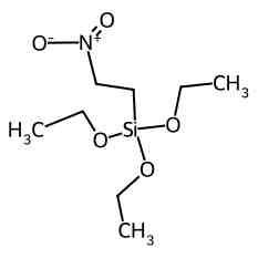 CCO[Si](CC[N+](=O)[O-])(OCC)OCC